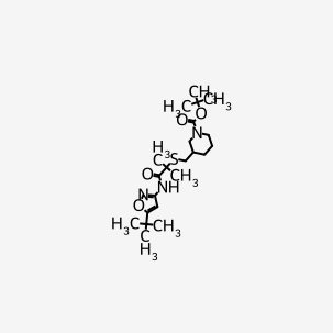 CC(C)(C)OC(=O)N1CCCC(CSC(C)(C)C(=O)Nc2cc(C(C)(C)C)on2)C1